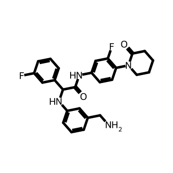 NCc1cccc(NC(C(=O)Nc2ccc(N3CCCCC3=O)c(F)c2)c2cccc(F)c2)c1